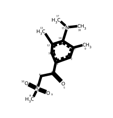 Cc1cc(C(=O)CS(C)(=O)=O)cc(C)c1N(C)C